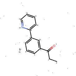 CCC(=O)c1cccc(-c2ccccn2)c1.[Ir]